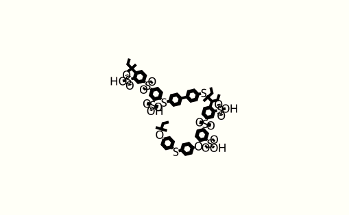 CCC(c1ccc(S(=O)(=O)c2ccc(Oc3ccc(Sc4ccc(OC(C)(C)CC)cc4)cc3)c(S(=O)(=O)O)c2)cc1S(=O)(=O)O)C(C)(CC)Sc1ccc(-c2ccc(Sc3ccc(S(=O)(=O)c4ccc(C(C)(C)CC)c(S(=O)(=O)O)c4)cc3S(=O)(=O)O)cc2)cc1